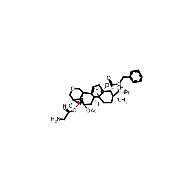 CC(=O)O[C@@H]1C[C@@]23COC[C@@](C)([C@@H]2CC[C@H]2C3=CC[C@@]3(C)[C@H](C(=O)OCc4ccccc4)[C@@](C)([C@H](C)C(C)C)CC[C@]23C)[C@H]1OC(=O)CN